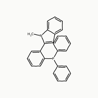 Cn1c(-c2ccccc2P(c2ccccc2)c2ccccc2)cc2ccccc21